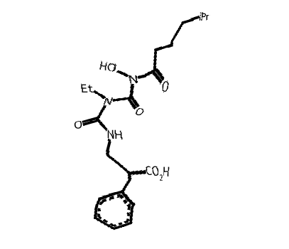 CCN(C(=O)NCC(C(=O)O)c1ccccc1)C(=O)N(O)C(=O)CCCC(C)C